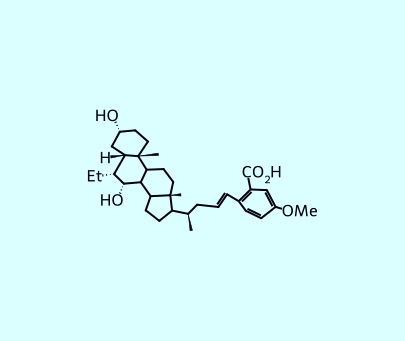 CC[C@H]1[C@@H](O)C2C3CCC([C@H](C)C/C=C/c4ccc(OC)cc4C(=O)O)[C@@]3(C)CCC2[C@@]2(C)CC[C@@H](O)C[C@@H]12